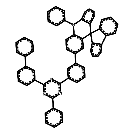 c1ccc(-c2cccc(-c3nc(-c4ccccc4)nc(-c4cccc(-c5ccc6c(c5)C5(c7ccccc7-c7ccccc75)c5ccccc5N6c5ccccc5)c4)n3)c2)cc1